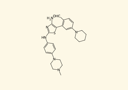 CN1CCN(c2ccc(Nc3nc(N)c(-c4cc(N5CCCCC5)ccc4C=O)s3)cc2)CC1